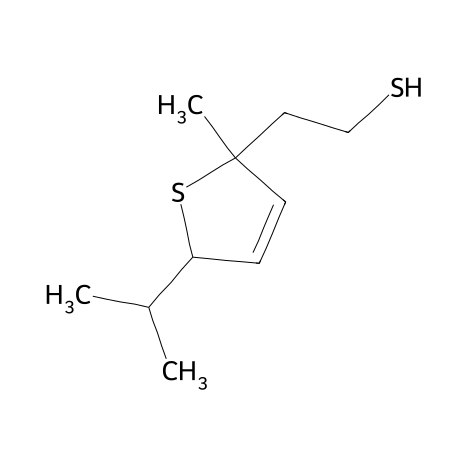 CC(C)C1C=CC(C)(CCS)S1